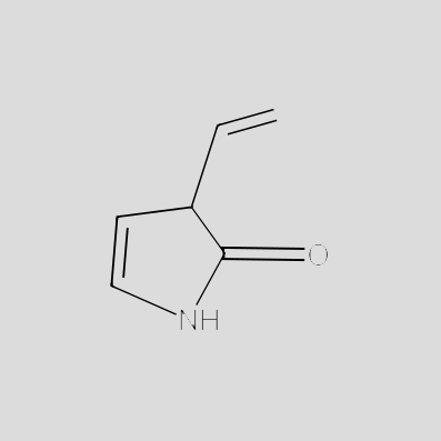 C=CC1C=CNC1=O